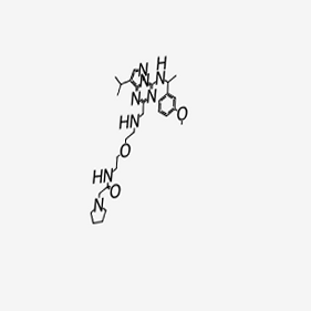 COc1cccc(C(C)Nc2nc(CNCCOCCNC(=O)CN3CCCC3)nc3c(C(C)C)cnn23)c1